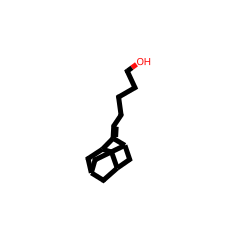 OCCCCC=C1C2CC3CC(C2)CC1C3